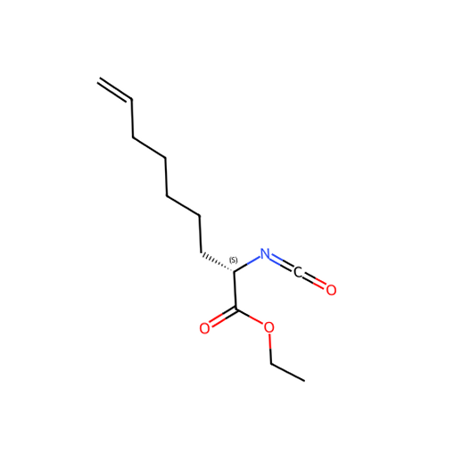 C=CCCCCC[C@H](N=C=O)C(=O)OCC